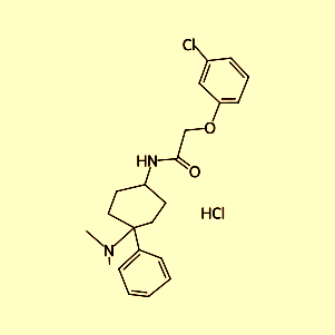 CN(C)C1(c2ccccc2)CCC(NC(=O)COc2cccc(Cl)c2)CC1.Cl